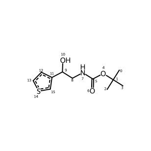 CC(C)(C)OC(=O)NCC(O)c1ccsc1